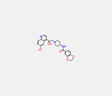 COc1ccc2nccc([C@@H](O)CN3CCC(NC(=O)c4ccc5c(c4)OCCO5)CC3)c2c1